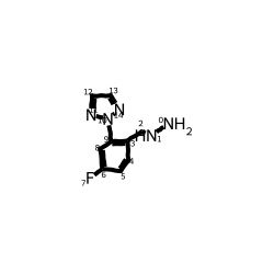 NNCc1ccc(F)cc1-n1nccn1